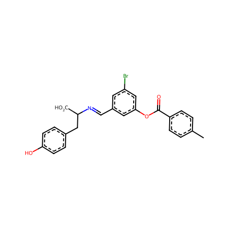 Cc1ccc(C(=O)Oc2cc(Br)cc(C=NC(Cc3ccc(O)cc3)C(=O)O)c2)cc1